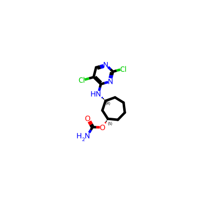 NC(=O)O[C@H]1CCCC[C@@H](Nc2nc(Cl)ncc2Cl)C1